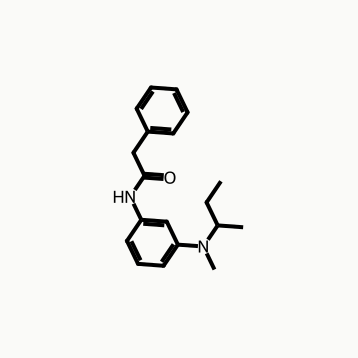 CCC(C)N(C)c1cccc(NC(=O)Cc2ccccc2)c1